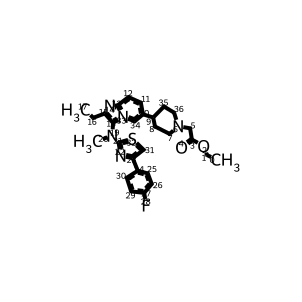 CCOC(=O)CN1CCC(c2ccc3nc(CC)c(N(C)c4nc(-c5ccc(F)cc5)cs4)n3c2)CC1